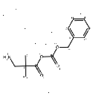 CC(C)(CN)C(=O)OC(=O)OCc1ccccc1